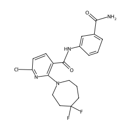 NC(=O)c1cccc(NC(=O)c2ccc(Cl)nc2N2CCCC(F)(F)CC2)c1